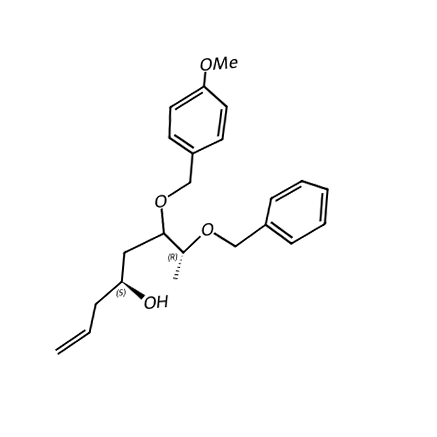 C=CC[C@H](O)CC(OCc1ccc(OC)cc1)[C@@H](C)OCc1ccccc1